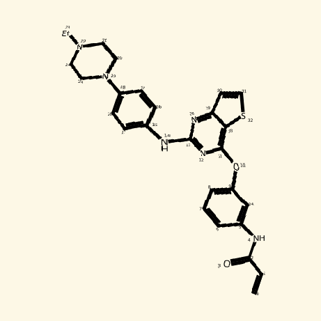 C=CC(=O)Nc1cccc(Oc2nc(Nc3ccc(N4CCN(CC)CC4)cc3)nc3ccsc23)c1